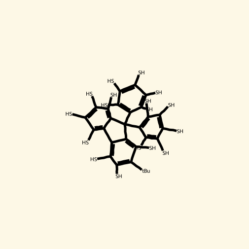 CC(C)(C)c1c(S)c(S)c2c(c1S)C(c1c(S)c(S)c(S)c(S)c1S)(c1c(S)c(S)c(S)c(S)c1S)c1c(S)c(S)c(S)c(S)c1-2